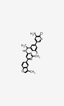 Cc1nc(NC(C)c2cc(F)cc(-c3cnc(Cl)c(N)c3)c2)cc(-c2ccc3occ(C)c3c2)n1